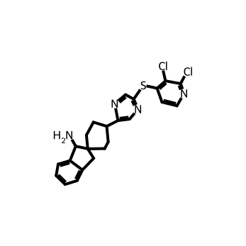 NC1c2ccccc2CC12CCC(c1cnc(Sc3ccnc(Cl)c3Cl)cn1)CC2